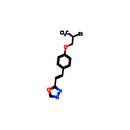 CCC(COc1ccc(C=Cc2nnco2)cc1)C(Cl)(Cl)Cl